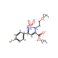 COCCN1C(C(=O)OC)=CC(c2ccc(F)cc2)=NS1(=O)=O